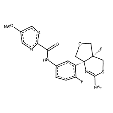 COc1cnc(C(=O)Nc2ccc(F)c([C@]34COC[C@@]3(F)CSC(N)=N4)c2)nc1